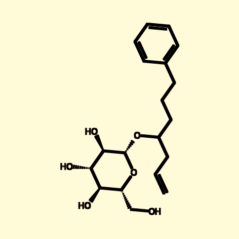 C=CCC(CCCc1ccccc1)O[C@@H]1O[C@H](CO)[C@@H](O)[C@H](O)[C@H]1O